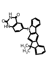 CC1(C)c2ccccc2-c2cc3c4ccccc4n(-c4ccc5[nH]c(=O)[nH]c(=O)c5c4)c3cc21